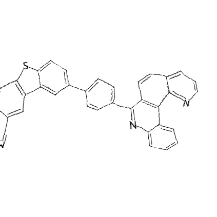 N#Cc1ccc2sc3ccc(-c4ccc(-c5nc6ccccc6c6c5ccc5cccnc56)cc4)cc3c2c1